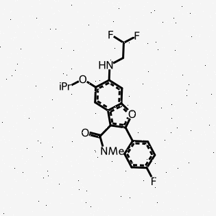 CNC(=O)c1c(-c2ccc(F)cc2)oc2cc(NCC(F)F)c(OC(C)C)cc12